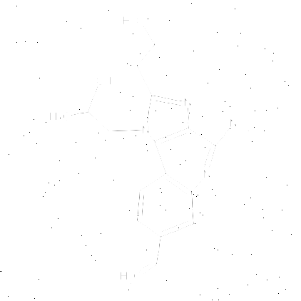 C=Cc1ccc2c(c1)nc(N)c1nc(CCC)n(CC(C)C)c12